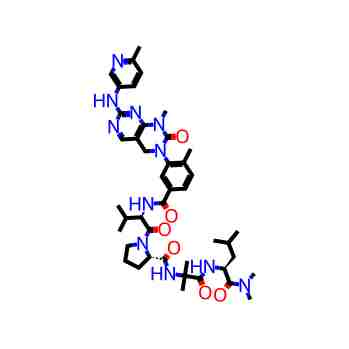 Cc1ccc(Nc2ncc3c(n2)N(C)C(=O)N(c2cc(C(=O)N[C@H](C(=O)N4CCC[C@H]4C(=O)NC(C)(C)C(=O)N[C@@H](CC(C)C)C(=O)N(C)C)C(C)C)ccc2C)C3)cn1